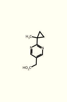 CC1(c2ncc(CC(=O)O)cn2)CC1